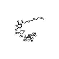 NCCOCCOCCC(=O)n1cc([C@@H]2O[C@H](COP(=O)(O)OP(=O)(O)OP(=O)(O)O)[C@@H](O)[C@H]2O)c(=O)[nH]c1=O